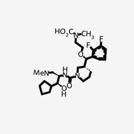 CNC[C@@H](NC(=O)N1CCC[C@@H]([C@@H](OCCN(C)C(=O)O)c2cccc(F)c2F)C1)[C@@H](O)C1CCCC1